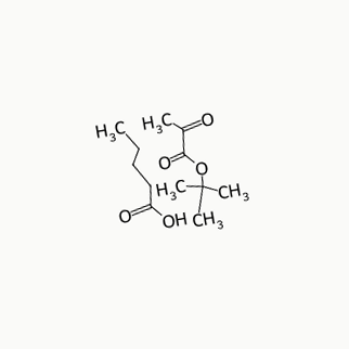 CC(=O)C(=O)OC(C)(C)C.CCCCC(=O)O